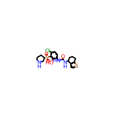 O=C(Nc1ccc(Cl)c(S(=O)(=O)C2CCCNC2)c1O)N[C@H]1CCCc2sccc21